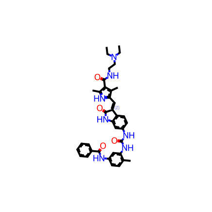 CCN(CC)CCNC(=O)c1c(C)[nH]c(/C=C2\C(=O)Nc3cc(NC(=O)Nc4cc(NC(=O)c5ccccc5)ccc4C)ccc32)c1C